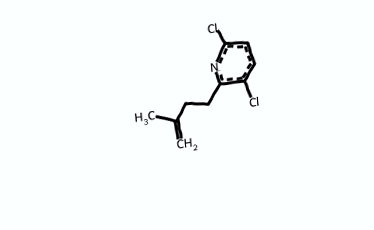 C=C(C)CCc1nc(Cl)ccc1Cl